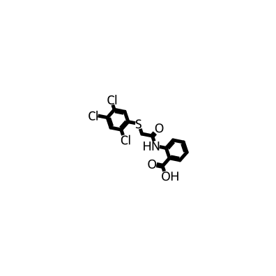 O=C(CSc1cc(Cl)c(Cl)cc1Cl)Nc1ccccc1C(=O)O